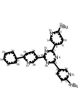 CCCCc1ccc(-c2nc(-c3ccc(CCCC)nc3)nc(-c3ccc(-c4ccccc4)nc3)n2)cn1